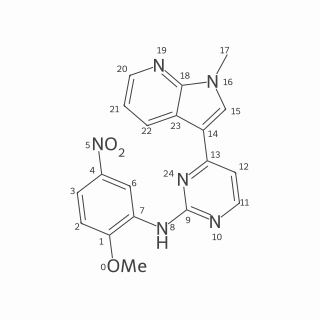 COc1ccc([N+](=O)[O-])cc1Nc1nccc(-c2cn(C)c3ncccc23)n1